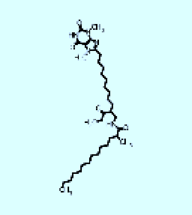 CCCCCCCCCCCCC(C)C(=O)NCC(CCCCCCCCCc1nc2c(c(=O)[nH]c(=O)n2C)n1C)C(=O)CC